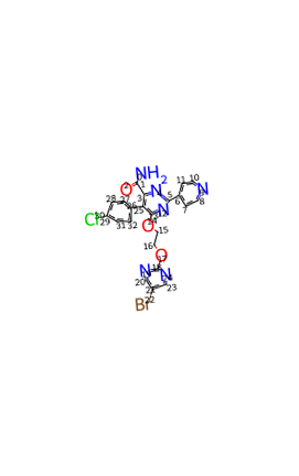 NC(=O)c1nc(-c2ccncc2)nc(OCCOc2ncc(Br)cn2)c1-c1ccc(Cl)cc1